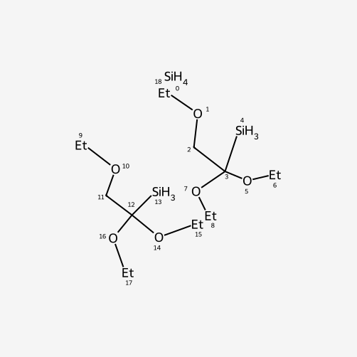 CCOCC([SiH3])(OCC)OCC.CCOCC([SiH3])(OCC)OCC.[SiH4]